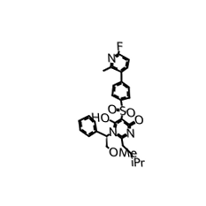 COC[C@@H](c1ccccc1)n1c(CCC(C)C)nc(=O)c(S(=O)(=O)c2ccc(-c3ccc(F)nc3C)cc2)c1O